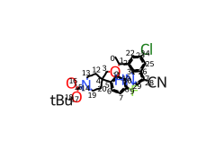 CC(OCC1(c2ccc(F)cc2)CCN(C(=O)OC(C)(C)C)CC1)c1cc(Cl)cc2c(C#N)c[nH]c12